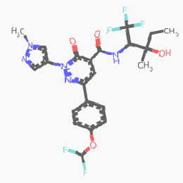 CCC(C)(O)C(NC(=O)c1cc(-c2ccc(OC(F)F)cc2)nn(-c2cnn(C)c2)c1=O)C(F)(F)F